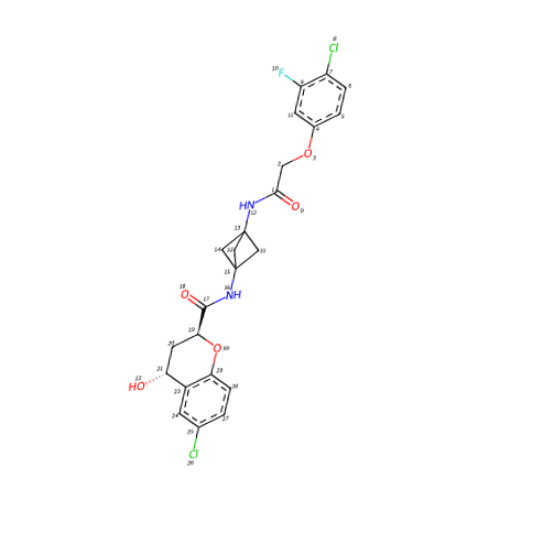 O=C(COc1ccc(Cl)c(F)c1)NC12CC(NC(=O)[C@@H]3C[C@@H](O)c4cc(Cl)ccc4O3)(C1)C2